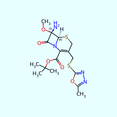 CO[C@@]1(N)C(=O)N2C(C(=O)OC(C)(C)C)=C(CSc3nnc(C)o3)CS[C@@H]21